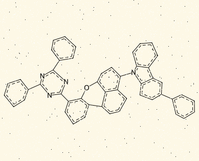 c1ccc(-c2ccc3c(c2)c2ccccc2n3-c2ccc3c4c(cccc24)-c2cccc(-c4nc(-c5ccccc5)nc(-c5ccccc5)n4)c2O3)cc1